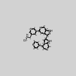 CCNCc1cncc(-c2cc3c(-c4cc5c(-c6ccncc6)cncc5[nH]4)n[nH]c3cn2)c1